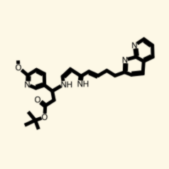 COc1ccc(C(CC(=O)OC(C)(C)C)N/C=C\C(=N)/C=C/CCc2ccc3cccnc3n2)cn1